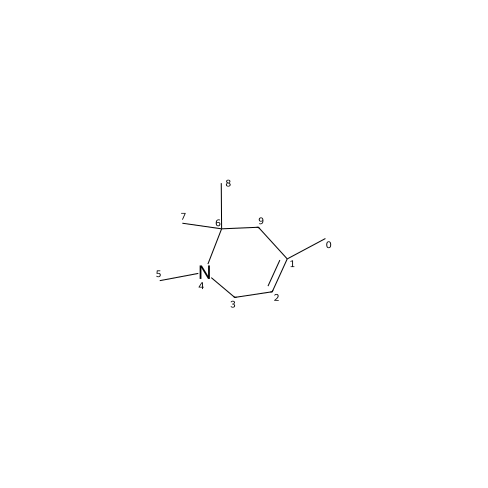 CC1=CCN(C)C(C)(C)C1